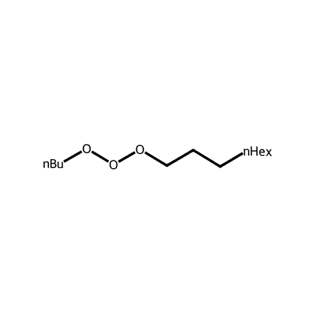 CCCCCCCCCOOOCCCC